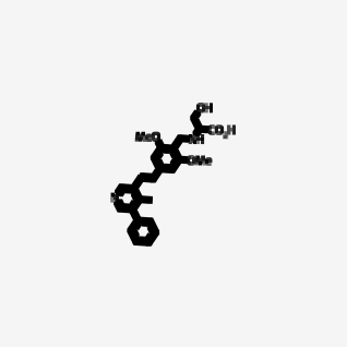 COc1cc(C=Cc2cncc(-c3ccccc3)c2C)cc(OC)c1CNC(CO)C(=O)O